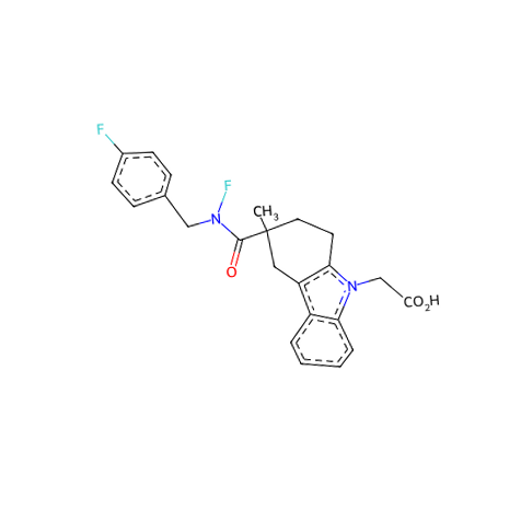 CC1(C(=O)N(F)Cc2ccc(F)cc2)CCc2c(c3ccccc3n2CC(=O)O)C1